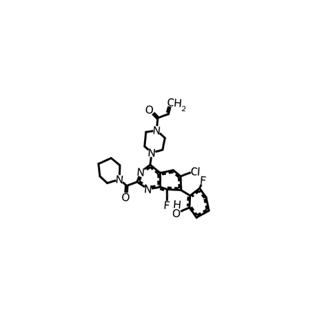 C=CC(=O)N1CCN(c2nc(C(=O)N3CCCCC3)nc3c(F)c(-c4c(O)cccc4F)c(Cl)cc23)CC1